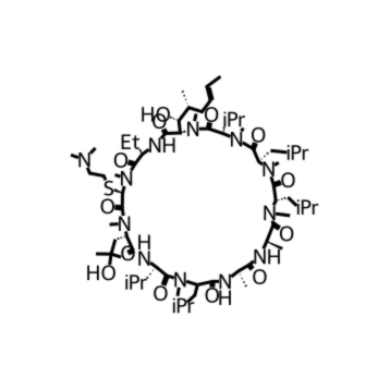 C/C=C/C[C@@H](C)[C@@H](O)[C@H]1C(=O)N[C@@H](CC)C(=O)N(C)[C@H](SCCN(C)C)C(=O)N(C)[C@@H](CC(C)(C)O)C(=O)N[C@@H](C(C)C)C(=O)N(C)C(CC(C)C)C(=O)N[C@@H](C)C(=O)N[C@H](C)C(=O)N(C)[C@@H](CC(C)C)C(=O)N(C)[C@@H](CC(C)C)C(=O)N(C)[C@@H](C(C)C)C(=O)N1C